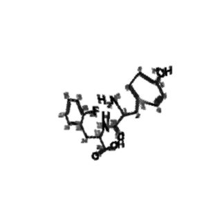 NC(Cc1ccc(O)cc1)C(=O)NC(Cc1ccccc1F)C(=O)O